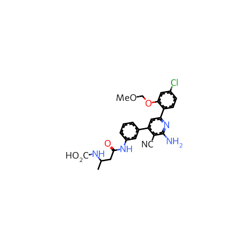 COCOc1cc(Cl)ccc1-c1cc(-c2cccc(NC(=O)CC(C)NC(=O)O)c2)c(C#N)c(N)n1